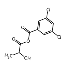 CC(O)C(=O)OC(=O)c1cc(Cl)cc(Cl)c1